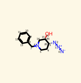 [N-]=[N+]=N[C@@H]1CCN(Cc2ccccc2)C[C@H]1O